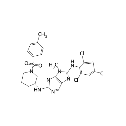 Cc1ccc(S(=O)(=O)N2CCC[C@@H](Nc3ncc4nc(Nc5c(Cl)cc(Cl)cc5Cl)n(C)c4n3)C2)cc1